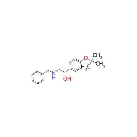 CC(C)(C)Oc1ccc(C(O)CNCc2ccccc2)cc1